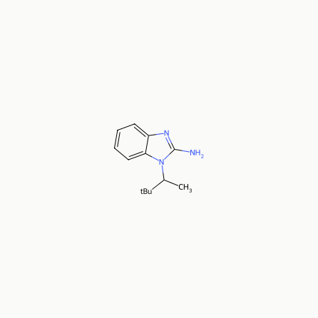 CC(n1c(N)nc2ccccc21)C(C)(C)C